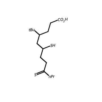 CCCC(=S)CCC(S)CC(CCC(=O)O)C(C)(C)C